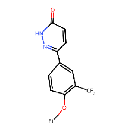 CCOc1ccc(-c2ccc(=O)[nH]n2)cc1C(F)(F)F